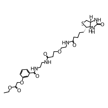 CCOC(=O)COc1cccc(C(=O)NCCNC(=O)CCOCCNC(=O)CCCC[C@@H]2SC[C@@H]3NC(=O)N[C@@H]32)c1